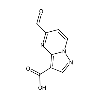 O=Cc1ccn2ncc(C(=O)O)c2n1